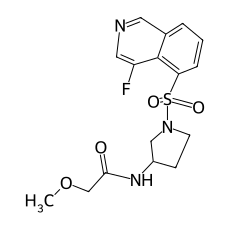 COCC(=O)NC1CCN(S(=O)(=O)c2cccc3cncc(F)c23)C1